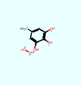 O=C(O)c1cc(O)c(O)c(O)c1.OO